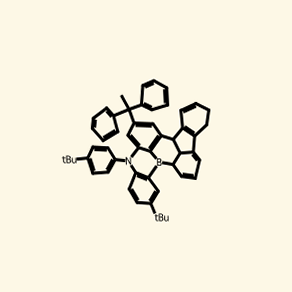 CC(C)(C)c1ccc(N2c3ccc(C(C)(C)C)cc3B3c4c(cc(C(C)(c5ccccc5)c5ccccc5)cc42)C2C4=C(CCC=C4)C4=CC=CC3C42)cc1